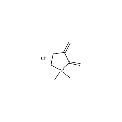 C=C1CC[N+](C)(C)C1=C.[Cl-]